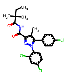 CCC(C)(C)C(=O)NC(=O)c1nn(-c2ccc(Cl)cc2Cl)c(-c2ccc(Cl)cc2)c1C